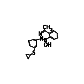 CC1=NN(c2cccc(SC3CC3)c2)B(O)c2ccccc21